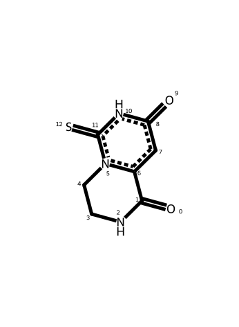 O=C1NCCn2c1cc(=O)[nH]c2=S